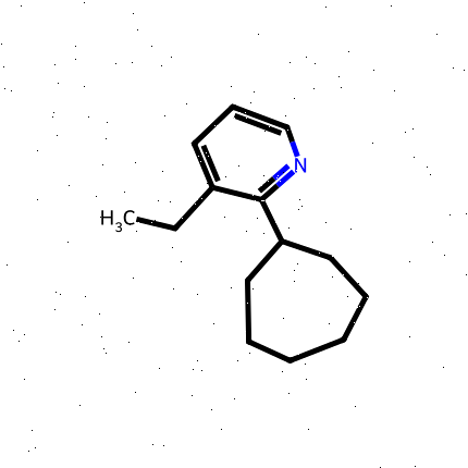 CCc1cccnc1C1CCCCCC1